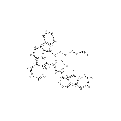 CCCCCCn1c2ccccc2c2ccc3c4ccccc4n(-c4cccc(-c5cccc6c5sc5ccccc56)c4)c3c21